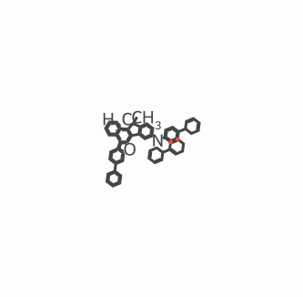 CC1(C)c2ccc(N(c3ccc(C4C=CC=CC4)cc3)C3C=CC=CC3C3=CCCC=C3)cc2-c2c1c1ccccc1c1c2oc2cc(-c3ccccc3)ccc21